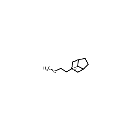 COCCN1CC2CCC(C1)C2O